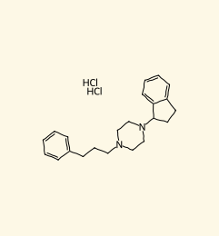 Cl.Cl.c1ccc(CCCN2CCN(C3CCc4ccccc43)CC2)cc1